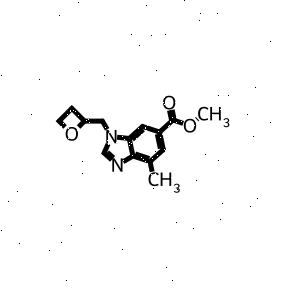 COC(=O)c1cc(C)c2ncn(CC3CCO3)c2c1